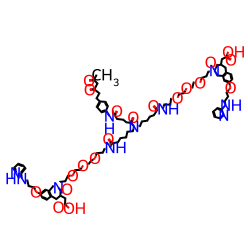 CC(=O)CC(=O)CCc1ccc(NC(=O)CCCC(=O)N(CCCCCC(=O)NCCCOCCOCCOCCCN2Cc3cc(OCCCNc4ccccn4)ccc3CC(CC(=O)O)C2=O)CCCCCC(=O)NCCCOCCOCCOCCCN2Cc3cc(OCCCNc4ccccn4)ccc3CC(CC(=O)O)C2=O)cc1